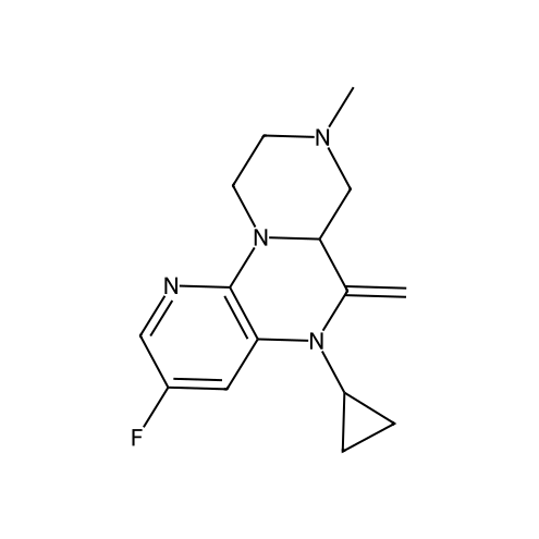 C=C1C2CN(C)CCN2c2ncc(F)cc2N1C1CC1